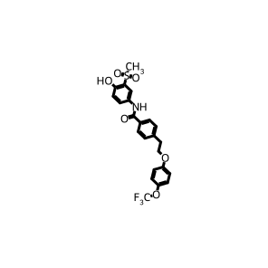 CS(=O)(=O)c1cc(NC(=O)c2ccc(CCOc3ccc(OC(F)(F)F)cc3)cc2)ccc1O